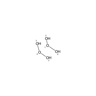 OOO.OOO